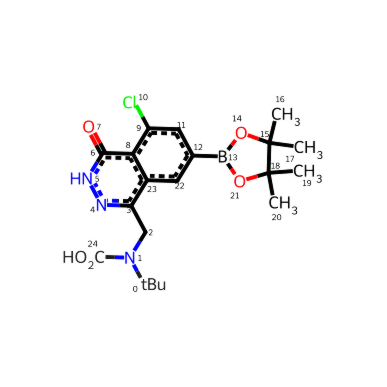 CC(C)(C)N(Cc1n[nH]c(=O)c2c(Cl)cc(B3OC(C)(C)C(C)(C)O3)cc12)C(=O)O